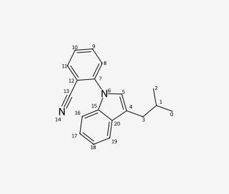 CC(C)Cc1cn(-c2ccccc2C#N)c2ccccc12